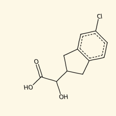 O=C(O)C(O)C1Cc2ccc(Cl)cc2C1